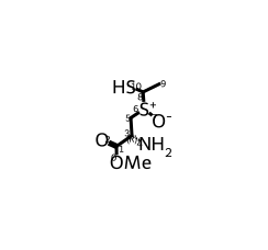 COC(=O)[C@@H](N)C[S+]([O-])C(C)S